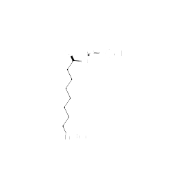 CCCCCCCCCCCCCCCCCC(=O)OOCCCCCCCC